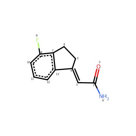 NC(=O)/C=C1\CCc2c(F)cccc21